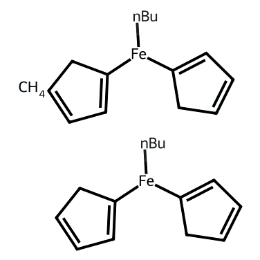 C.CCC[CH2][Fe]([C]1=CC=CC1)[C]1=CC=CC1.CCC[CH2][Fe]([C]1=CC=CC1)[C]1=CC=CC1